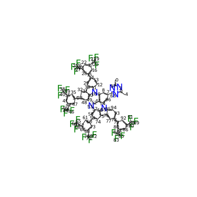 Cc1nc(C)nc(-c2cc(-n3c4ccc(-c5cc(C(F)(F)F)cc(C(F)(F)F)c5)cc4c4cc(-c5cc(C(F)(F)F)cc(C(F)(F)F)c5)ccc43)c(C#N)c(-n3c4ccc(-c5cc(C(F)(F)F)cc(C(F)(F)F)c5)cc4c4cc(-c5cc(C(F)(F)F)cc(C(F)(F)F)c5)ccc43)c2)n1